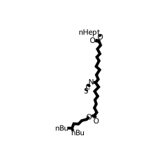 CCCCCCCOC(=O)CCCCCCCCCC(CCCCCCCC(=O)OCCCCC(CCCC)CCCC)N=C=S